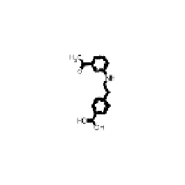 CC(=O)c1cccc(NCCc2ccc(C(O)O)cc2)c1